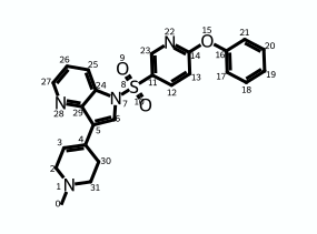 CN1CC=C(c2cn(S(=O)(=O)c3ccc(Oc4ccccc4)nc3)c3cccnc23)CC1